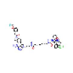 Nc1ncnc2c1c(-c1ccc3c(c1)CCN3C(=O)Cc1cccc(OC(F)(F)F)c1)cn2CCCNC(=O)CCCCCCCCNC(=O)[C@@H]1NC2(CCCCC2)[C@@]2(C(=O)Nc3cc(Cl)ccc32)[C@H]1c1cccc(Cl)c1F